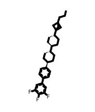 CCCC12CC([C@H]3CC[C@H]([C@H]4CC[C@H](c5ccc(-c6cc(F)c(F)c(F)c6)cc5)CC4)CC3)(C1)C2